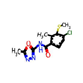 CSc1c(Cl)ccc(C(=O)Nc2nnc(C)o2)c1C